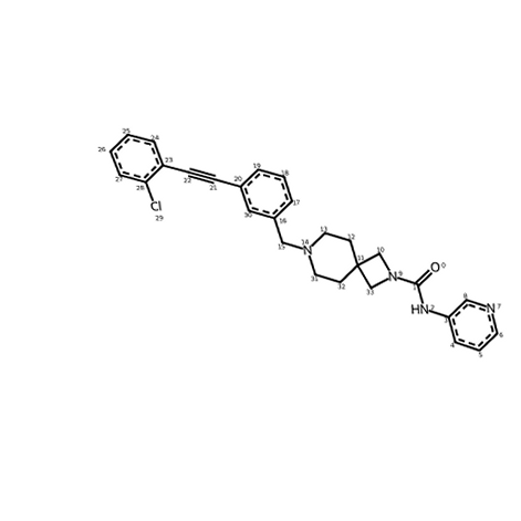 O=C(Nc1cccnc1)N1CC2(CCN(Cc3cccc(C#Cc4ccccc4Cl)c3)CC2)C1